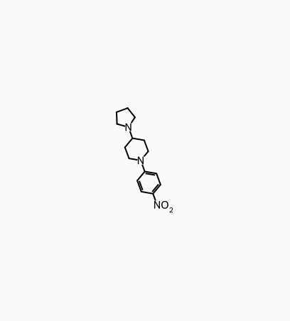 O=[N+]([O-])c1ccc(N2CCC(N3CCCC3)CC2)cc1